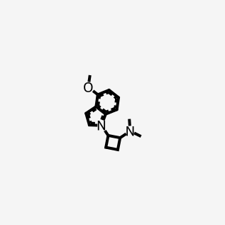 COc1cccc2c1ccn2C1CCC1N(C)C